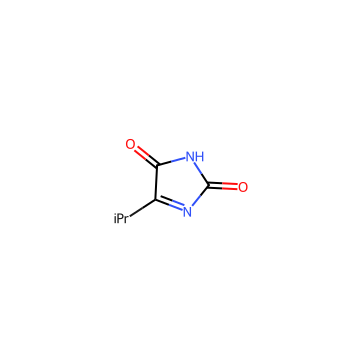 CC(C)C1=NC(=O)NC1=O